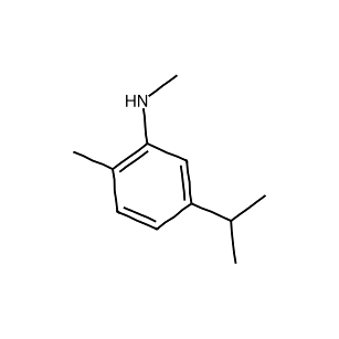 CNc1cc(C(C)C)ccc1C